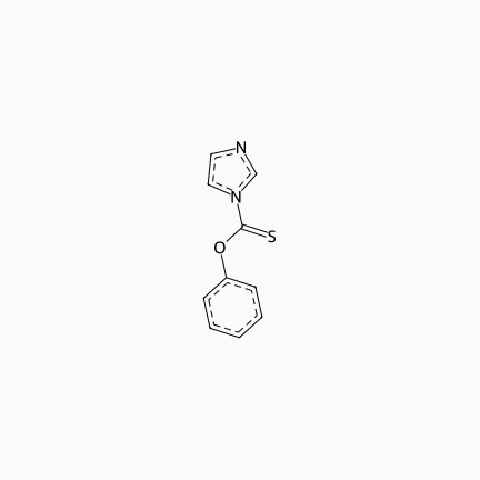 S=C(Oc1ccccc1)n1ccnc1